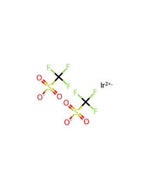 O=S(=O)([O-])C(F)(F)F.O=S(=O)([O-])C(F)(F)F.[Ir+2]